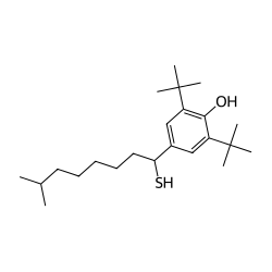 CC(C)CCCCCC(S)c1cc(C(C)(C)C)c(O)c(C(C)(C)C)c1